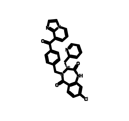 O=C(c1ccc(CN2C(=O)c3ccc(Cl)cc3NC(=O)[C@H]2Cc2ccccn2)cc1)c1cccn2ccnc12